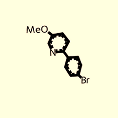 COc1ccc(-c2ccc(Br)cc2)nc1